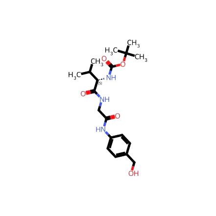 CC(C)[C@H](NC(=O)OC(C)(C)C)C(=O)NCC(=O)Nc1ccc(CO)cc1